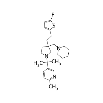 Cc1ccc(C(C)(C)N2CCC(CCc3ccc(F)s3)(CN3CCCCC3)C2)cn1